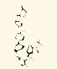 Cc1cnc(Nc2ccc(N3CCC(N(C)Cc4ccc(N5CCC(=O)NC5=O)cc4)CC3)cc2)nc1Nc1cccc(S(=O)(=O)NC(C)(C)C)c1